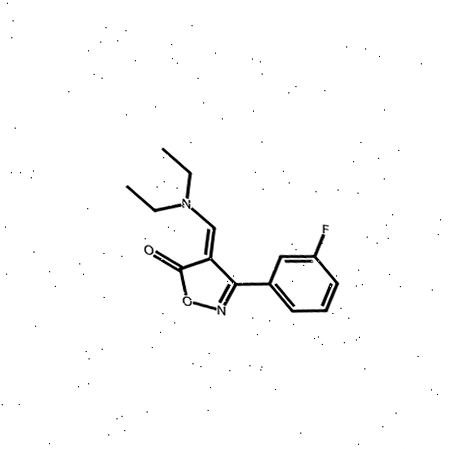 CCN(C=C1C(=O)ON=C1c1cccc(F)c1)CC